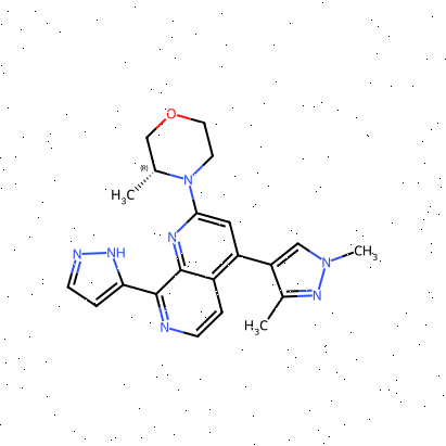 Cc1nn(C)cc1-c1cc(N2CCOC[C@H]2C)nc2c(-c3ccn[nH]3)nccc12